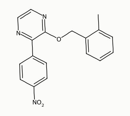 Cc1ccccc1COc1nccnc1-c1ccc([N+](=O)[O-])cc1